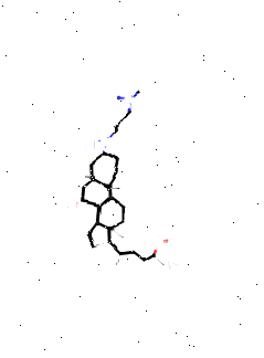 CC(C)[C@@H](CC[C@@H](C)[C@H]1CCC2C3C(CC[C@@]21C)[C@@]1(C)CC[C@H](NCCCN(C)C)C[C@H]1C[C@H]3O)OS(=O)(=O)O